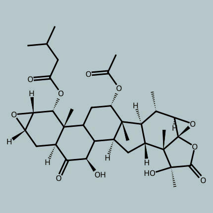 CC(=O)O[C@H]1CC2C([C@@H](O)C(=O)[C@H]3C[C@@H]4O[C@@H]4[C@H](OC(=O)CC(C)C)[C@]23C)[C@@H]2C[C@@H]3[C@H]([C@H](C)[C@H]4O[C@]45OC(=O)[C@@](C)(O)[C@]35C)[C@@]12C